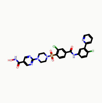 O=C(NO)c1cnc(N2CCN(S(=O)(=O)c3ccc(C(=O)Nc4ccc(Cl)c(-c5ccccn5)c4)cc3Cl)CC2)nc1